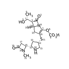 C[C@@H](O)[C@H]1C(=O)N2C(OC(=O)O)=C(S[C@@H]3CN[C@H](C4CC(=O)N4C)C3)C[C@H]12